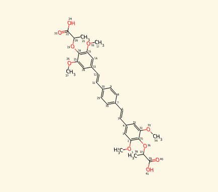 COc1cc(/C=C/c2ccc(/C=C/c3cc(OC)c(OC(C)C(=O)O)c(OC)c3)cc2)cc(OC)c1OC(C)C(=O)O